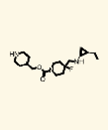 CC[C@@H]1C[C@H]1NCC1(F)CCN(C(=O)OCC2CCNCC2)CC1